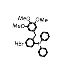 Br.COc1cc(Cc2ccccc2P(c2ccccc2)c2ccccc2)cc(OC)c1OC